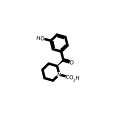 O=C(c1cccc(O)c1)[C@@H]1CCCCN1C(=O)O